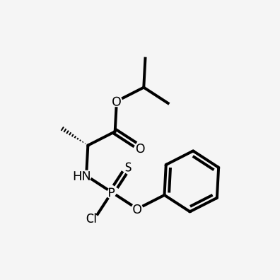 CC(C)OC(=O)[C@@H](C)NP(=S)(Cl)Oc1ccccc1